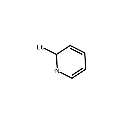 CCC1C=CC=C[N]1